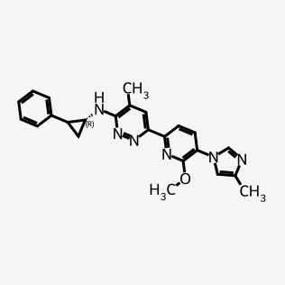 COc1nc(-c2cc(C)c(N[C@@H]3CC3c3ccccc3)nn2)ccc1-n1cnc(C)c1